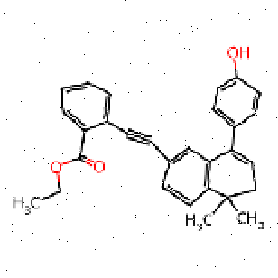 CCOC(=O)c1ccccc1C#Cc1ccc2c(c1)C(c1ccc(O)cc1)=CCC2(C)C